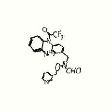 Nc1ccccc1N(C(=O)C(F)(F)F)c1ccc(CN(C=O)OCc2cccnc2)cc1